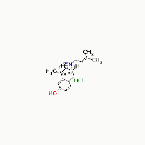 CC(C)=CCN1CC[C@@]2(C)c3cc(O)ccc3C[C@@H]1[C@@H]2C.Cl